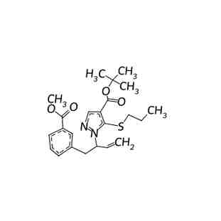 C=CC(Cc1cccc(C(=O)OC)c1)n1ncc(C(=O)OC(C)(C)C)c1SCCC